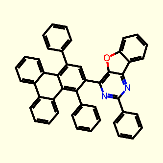 c1ccc(-c2nc(-c3cc(-c4ccccc4)c4c5ccccc5c5ccccc5c4c3-c3ccccc3)c3oc4ccccc4c3n2)cc1